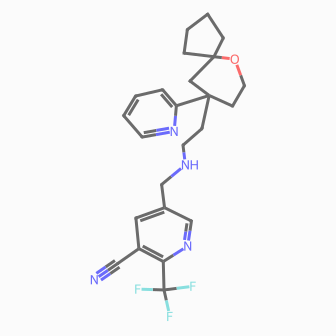 N#Cc1cc(CNCCC2(c3ccccn3)CCOC3(CCCC3)C2)cnc1C(F)(F)F